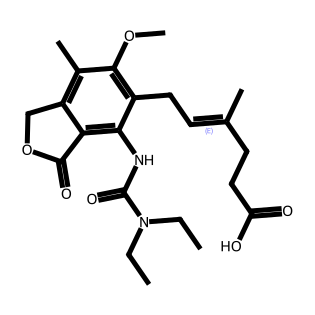 CCN(CC)C(=O)Nc1c(C/C=C(\C)CCC(=O)O)c(OC)c(C)c2c1C(=O)OC2